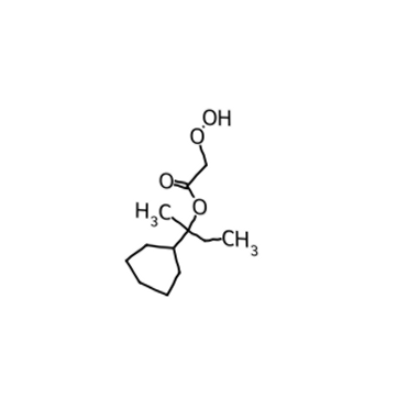 CCC(C)(OC(=O)COO)C1CCCCC1